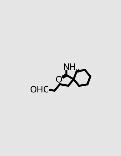 NC(=O)C1(CCCC=O)CCCCC1